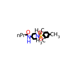 CCCC(=O)NC1CCN(S(=O)(=O)c2c(C)cc(C)cc2C)CC1